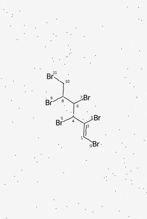 Br/C=C(\Br)C(Br)C(Br)C(Br)CBr